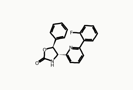 O=C1N[C@@H](c2cccc(-c3ccccc3F)n2)[C@H](c2ccccc2)O1